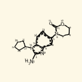 Nc1nc2cc(N3CCCOC3=O)ccc2n1C1CCCC1